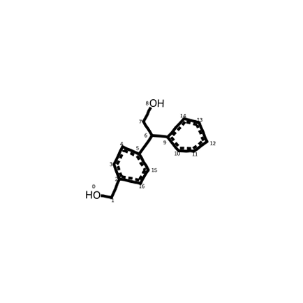 OCc1ccc(C(CO)c2ccccc2)cc1